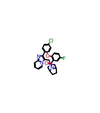 COc1ccc(F)cc1C(=O)N1C2CCC1CN(Cc1c(-c3ccc(Cl)cc3)nc3ccccn13)C2